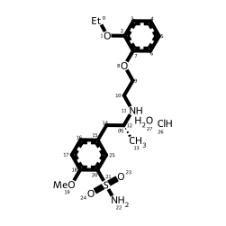 CCOc1ccccc1OCCN[C@H](C)Cc1ccc(OC)c(S(N)(=O)=O)c1.Cl.O